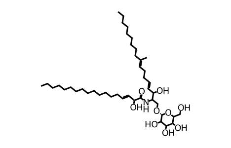 CCCCCCCCCCCCCC/C=C/C(O)C(=O)NC(CO[C@@H]1OC(CO)C(O)C(O)C1O)C(O)/C=C/CC/C=C(\C)CCCCCCCCC